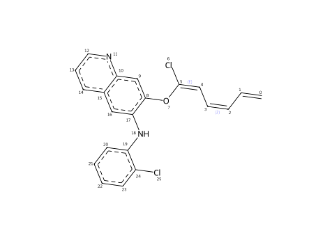 C=C/C=C\C=C(\Cl)Oc1cc2ncccc2cc1Nc1ccccc1Cl